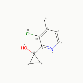 Cc1ccnc(C2(O)CC2)c1Cl